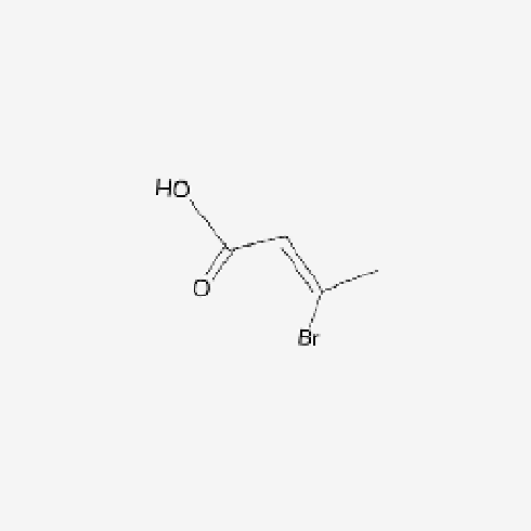 CC(Br)=CC(=O)O